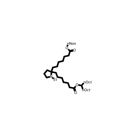 CCCCCCCCCOC(=O)CCCCCCC1(CCCCCCC(=O)OC(CCCCCCCC)CCCCCCCC)CCCN1CC